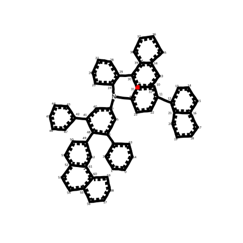 c1ccc(-c2cc(N(c3ccc(-c4cccc5ccccc45)cc3)c3ccccc3-c3cccc4ccccc34)cc(-c3ccccc3)c2-c2ccc3ccc4ccccc4c3c2)cc1